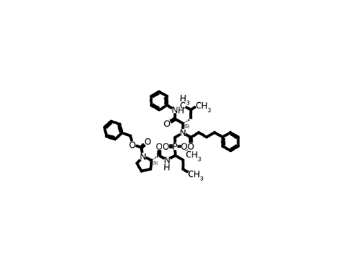 CCCC(NC(=O)[C@@H]1CCCN1C(=O)OCc1ccccc1)P(=O)(CN(C(=O)CCCc1ccccc1)[C@@H](CC(C)C)C(=O)Nc1ccccc1)OC